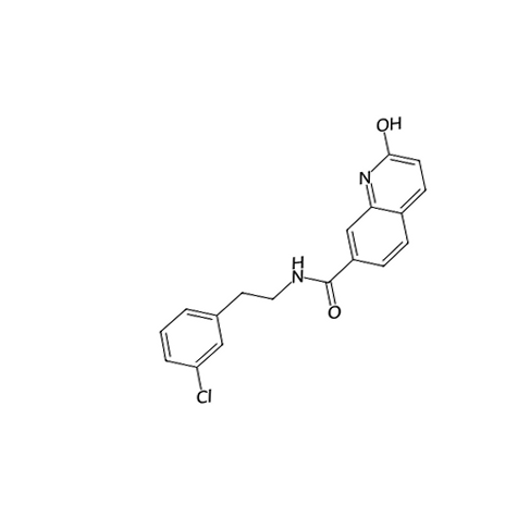 O=C(NCCc1cccc(Cl)c1)c1ccc2ccc(O)nc2c1